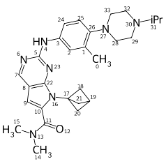 Cc1cc(Nc2ncc3cc(C(=O)N(C)C)n(C45CC(C4)C5)c3n2)ccc1N1CCN(C(C)C)CC1